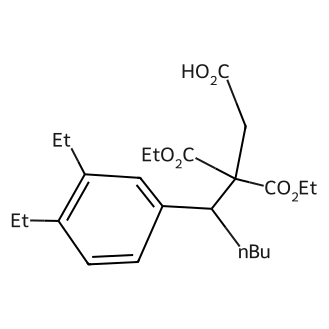 CCCCC(c1ccc(CC)c(CC)c1)C(CC(=O)O)(C(=O)OCC)C(=O)OCC